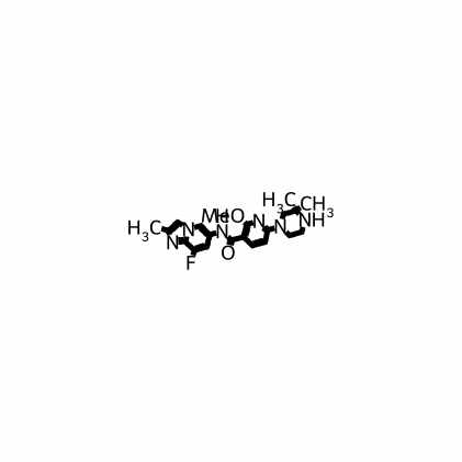 COc1nc(N2CCNC(C)(C)C2)ccc1C(=O)Nc1cc(F)c2nc(C)cn2c1